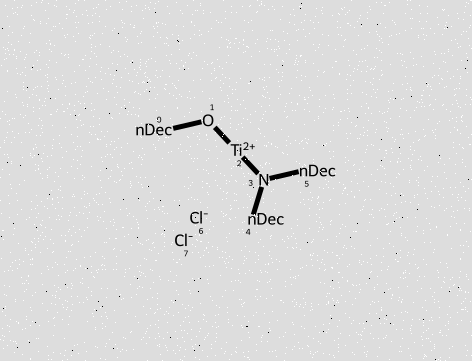 CCCCCCCCCC[O][Ti+2][N](CCCCCCCCCC)CCCCCCCCCC.[Cl-].[Cl-]